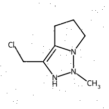 CN1NC(CCl)=C2CCCN21